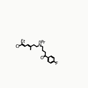 CCCN(CCCC(=O)c1ccc(F)cc1)CC/C(C)=C/C=C(/Cl)CC